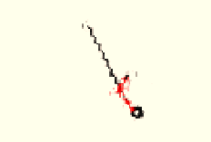 CCCCCCCCCCCCCCCC(OCC)C(=O)OCCOc1ccccc1